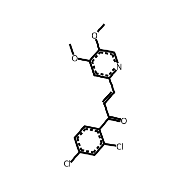 COc1cnc(/C=C/C(=O)c2ccc(Cl)cc2Cl)cc1OC